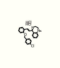 CN1CCN=C(/C=C/c2ccccc2OCc2ccc(Cl)cc2)c2ccccc21.Cl.Cl